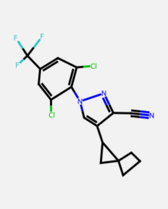 N#Cc1nn(-c2c(Cl)cc(C(F)(F)F)cc2Cl)cc1C1CC12CCC2